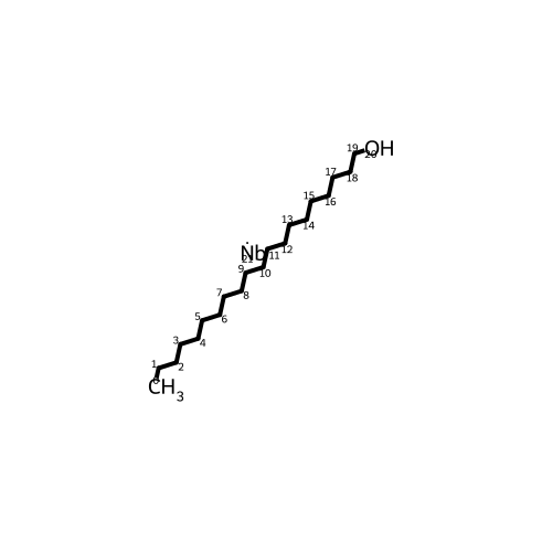 CCCCCCCCCCCCCCCCCCCCO.[Nb]